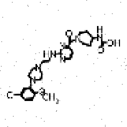 COc1ccc(Cl)cc1N1CCN(CCNc2nccc(C(=O)N3CCC(NC(=O)O)CC3)n2)CC1